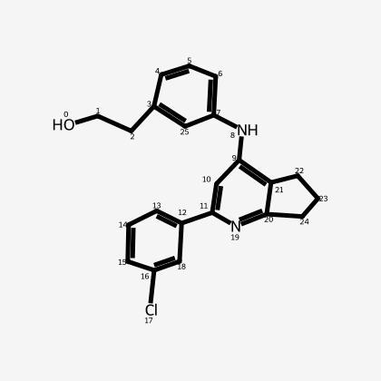 OCCc1cccc(Nc2cc(-c3cccc(Cl)c3)nc3c2CCC3)c1